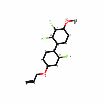 C=CCOC1CCC(C2CCC(OCC)C(F)C2F)C(F)C1